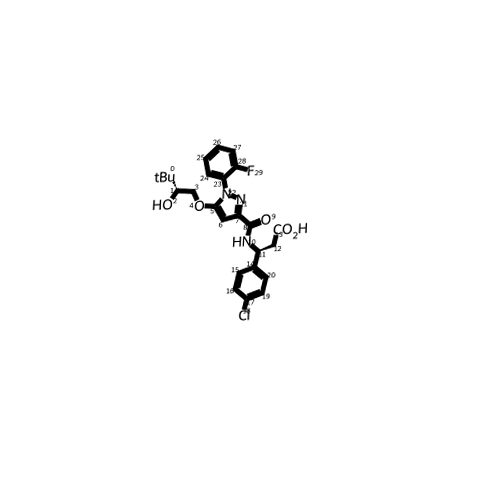 CC(C)(C)[C@@H](O)COc1cc(C(=O)N[C@@H](CC(=O)O)c2ccc(Cl)cc2)nn1-c1ccccc1F